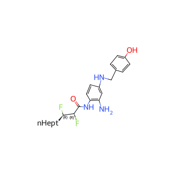 CCCCCCC[C@@H](F)[C@H](F)C(=O)Nc1ccc(NCc2ccc(O)cc2)cc1N